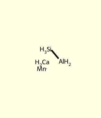 [AlH2][SiH3].[CaH2].[Mn]